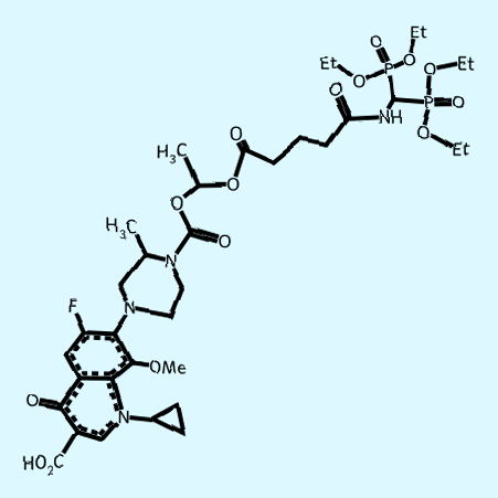 CCOP(=O)(OCC)C(NC(=O)CCCC(=O)OC(C)OC(=O)N1CCN(c2c(F)cc3c(=O)c(C(=O)O)cn(C4CC4)c3c2OC)CC1C)P(=O)(OCC)OCC